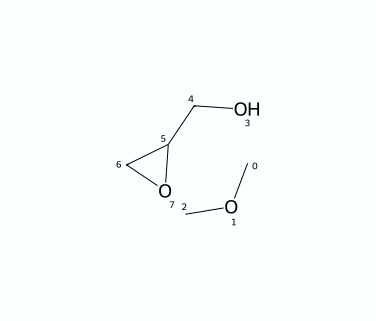 COC.OCC1CO1